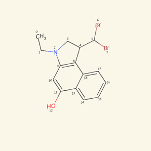 CCN1CC(C(Br)Br)c2c1cc(O)c1ccccc21